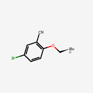 CC[C@H](C)COc1ccc(Br)cc1C#N